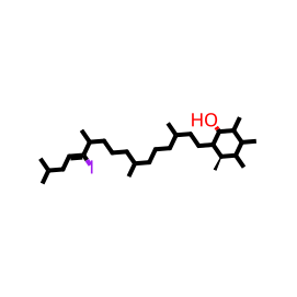 CC(C)C/C=C(\I)C(C)CCCC(C)CCCC(C)CCC1C(O)C(C)C(C)C(C)[C@H]1C